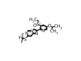 CC[S+]([O-])c1cc(OC(C)C)cnc1-c1cn2cnc(SC(F)(F)F)cc2n1